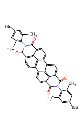 Cc1cc(C(C)(C)C)cc(C)c1N1C(=O)c2ccc3c4ccc5c6c(ccc(c7ccc(c2c37)C1=O)c64)C(=O)N(c1c(C)cc(C(C)(C)C)cc1C)C5=O